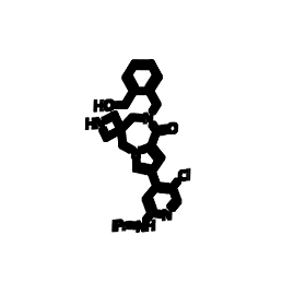 CC(C)Nc1cc(-c2cc3n(c2)CC2(CNC2)CN(Cc2ccccc2CO)C3=O)c(Cl)cn1